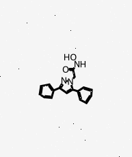 O=C(Cn1nc(-c2ccccc2)cc1-c1ccccc1)NO